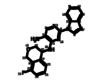 Nc1cnc(-n2cnc3ccccc32)nc1NC1COCc2c(F)cccc21